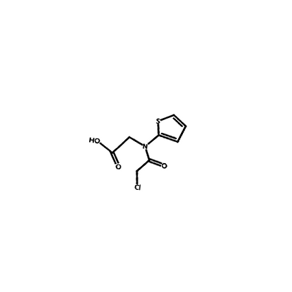 O=C(O)CN(C(=O)CCl)c1cccs1